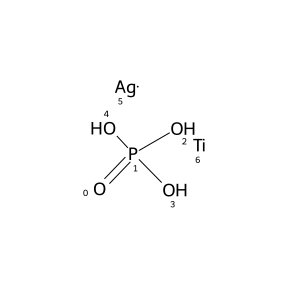 O=P(O)(O)O.[Ag].[Ti]